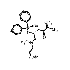 C=C(C)C(=O)C[C@H](CN(C)CCOC)O[Si](c1ccccc1)(c1ccccc1)C(C)(C)C